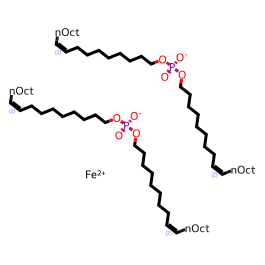 CCCCCCCC/C=C\CCCCCCCCOP(=O)([O-])OCCCCCCCC/C=C\CCCCCCCC.CCCCCCCC/C=C\CCCCCCCCOP(=O)([O-])OCCCCCCCC/C=C\CCCCCCCC.[Fe+2]